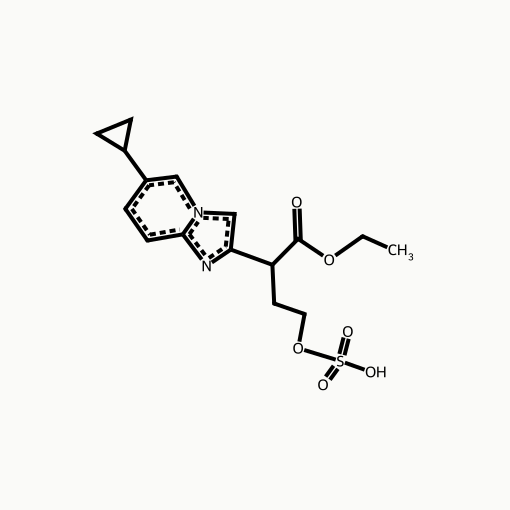 CCOC(=O)C(CCOS(=O)(=O)O)c1cn2cc(C3CC3)ccc2n1